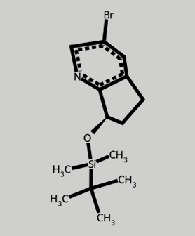 CC(C)(C)[Si](C)(C)O[C@@H]1CCc2cc(Br)cnc21